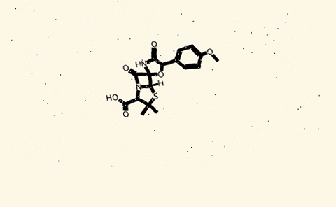 COc1ccc(C2OC3(NC2=O)C(=O)N2C(C(=O)O)C(C)(C)S[C@H]23)cc1